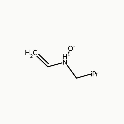 C=C[NH+]([O-])CC(C)C